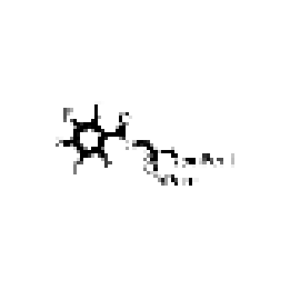 CCCCCOC[C@H](COC(=O)c1c(F)c(F)c(F)c(F)c1F)OCCCCC